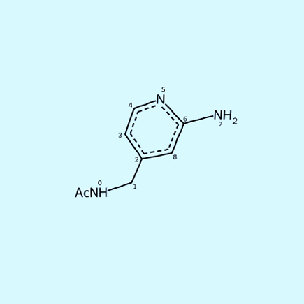 CC(=O)NCc1ccnc(N)c1